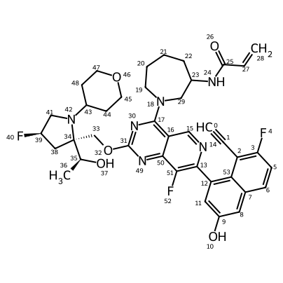 C#Cc1c(F)ccc2cc(O)cc(-c3ncc4c(N5CCCCC(NC(=O)C=C)C5)nc(OC[C@]5([C@H](C)O)C[C@@H](F)CN5C5CCOCC5)nc4c3F)c12